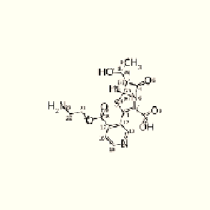 C[C@@H](O)[C@H]1C(=O)N2C(C(=O)O)=C(c3cnccc3C(=O)OCCN)S[C@H]12